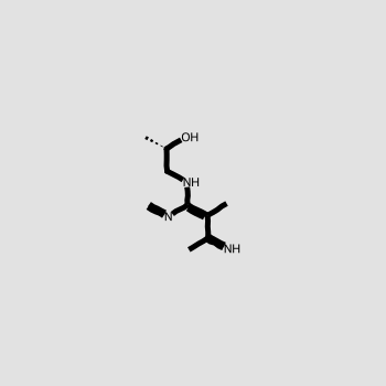 C=N/C(NC[C@H](C)O)=C(/C)C(C)=N